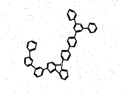 c1ccc(-c2cccc(-c3cccc(-c4ccc5c(c4)c4ccccc4n5-c4ccc(-c5ccc(-c6cc(-c7ccccc7)cc(-c7ccccc7)c6)cc5)cc4)c3)c2)cc1